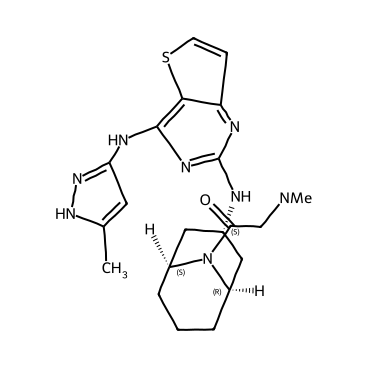 CNCC(=O)N1[C@@H]2CCC[C@H]1C[C@H](Nc1nc(Nc3cc(C)[nH]n3)c3sccc3n1)C2